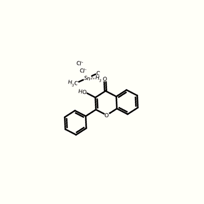 O=c1c(O)c(-c2ccccc2)oc2ccccc12.[CH3][Sn+2][CH3].[Cl-].[Cl-]